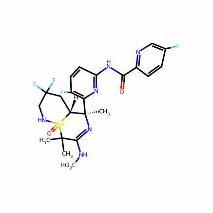 CC1(C)C(NC(=O)O)=N[C@](C)(c2nc(NC(=O)c3ccc(F)cn3)ccc2F)[C@H]2CC(F)(F)CN[SH]21=O